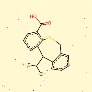 CC(C)C1c2ccccc2CSc2c(C(=O)O)cccc21